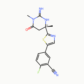 CN1C(=N)N[C@](C)(c2ncc(-c3ccc(F)c(C#N)c3)s2)CC1=O